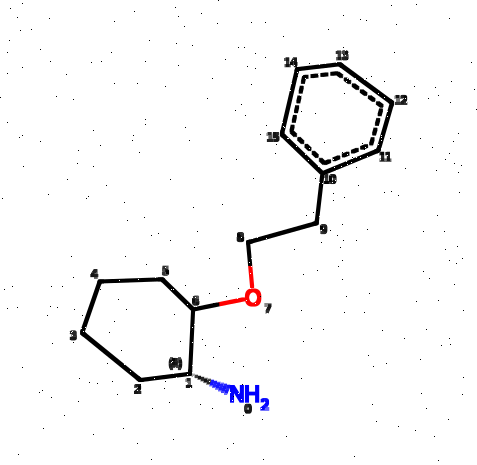 N[C@@H]1CCCCC1OCCc1ccccc1